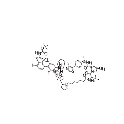 Cc1ncsc1-c1ccc([C@H](C)NC(=O)[C@@H]2C[C@@H](O)CN2C(=O)C(NC(=O)CCCCCCN2CCCC2COc2nc(N3C4CCC3CN(C(=O)OC(C)(C)C)C4)c3cc(Cl)c(-c4ccc(F)c5sc(NC(=O)OC(C)(C)C)nc45)c(F)c3n2)C(C)(C)C)cc1